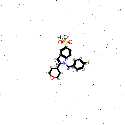 CS(=O)(=O)c1ccc2c(c1)cc(C1CCOCC1)n2Cc1ccc(F)cc1